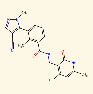 Cc1cc(C)c(CNC(=O)c2cccc(-c3c(C#N)cnn3C)c2C)c(=O)[nH]1